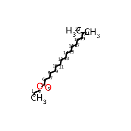 CCCOC(=O)CCCCCCCCCCCCCCC(C)C